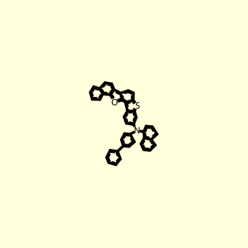 c1ccc(-c2ccc(N(c3ccc4c(c3)sc3ccc5c6ccc7ccccc7c6oc5c34)c3cccc4ccccc34)cc2)cc1